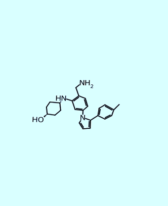 Cc1ccc(-c2cccn2-c2ccc(CN)c(N[C@H]3CC[C@H](O)CC3)c2)cc1